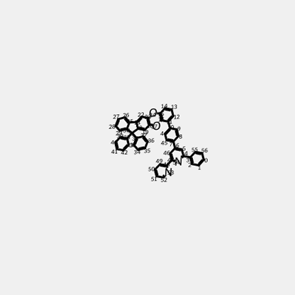 c1ccc(-c2cc(-c3ccc(-c4cccc5c4Oc4cc6c(cc4O5)-c4ccccc4C6(c4ccccc4)c4ccccc4)cc3)cc(-c3ccccn3)n2)cc1